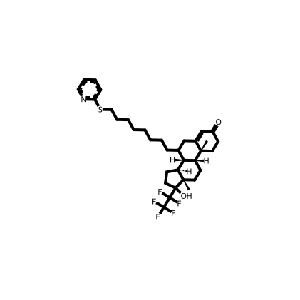 C[C@]12CCC(=O)C=C1CC(CCCCCCCCSc1ccccn1)[C@@H]1[C@H]2CC[C@@]2(C)[C@H]1CCC2(O)C(F)(F)C(F)(F)F